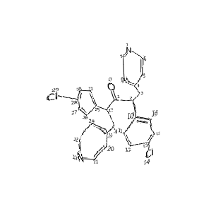 O=C(C(Cc1ccncc1)c1ccc(Cl)cc1)C(Cc1ccncc1)c1ccc(Cl)cc1